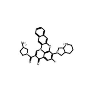 NC1CCN(C(=O)c2cn3c4c(c(N5CC6CCCNC6C5)c(F)cc4c2=O)Oc2cc4ccccc4cc2-3)C1